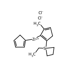 CC[Si]1(C2=[C]([Zr+2][C]3=CC=CC3)C(C)=CC2)CCC1.[Cl-].[Cl-]